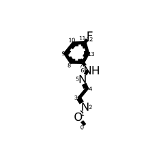 CON=CC=NNc1cccc(F)c1